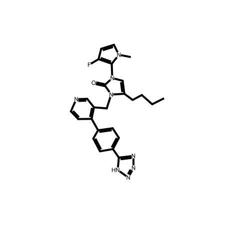 CCCCc1cn(-c2c(F)ccn2C)c(=O)n1Cc1cnccc1-c1ccc(-c2nnn[nH]2)cc1